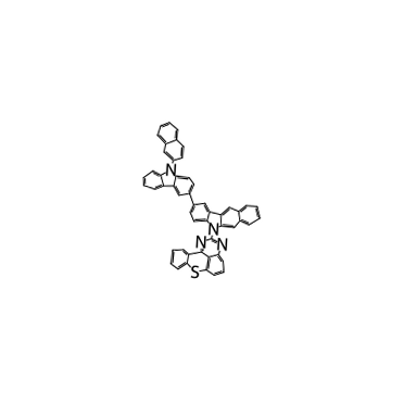 c1ccc2c(c1)Sc1cccc3nc(-n4c5ccc(-c6ccc7c(c6)c6ccccc6n7-c6ccc7ccccc7c6)cc5c5cc6ccccc6cc54)nc-2c13